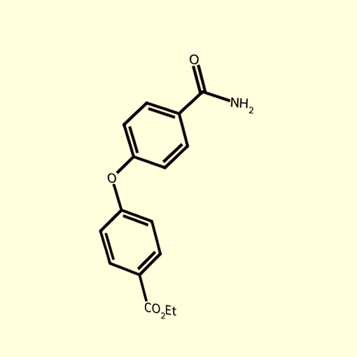 CCOC(=O)c1ccc(Oc2ccc(C(N)=O)cc2)cc1